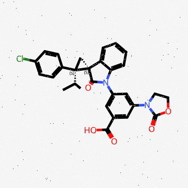 CC(C)[C@]1(c2ccc(Cl)cc2)C[C@]12C(=O)N(c1cc(C(=O)O)cc(N3CCOC3=O)c1)c1ccccc12